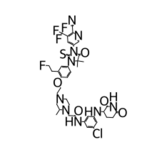 CC1CN(CCOc2ccc(N3C(=S)N(c4cnc(C#N)c(C(F)(F)F)c4)C(=O)C3(C)C)cc2CCF)CCN1CC(=O)Nc1cc(Cl)cc(NC2CCC(=O)NC2=O)c1